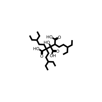 CCC(CC)CCC(C(=O)O)C(O)(C(=O)O)C(CCC(CC)CC)(CCC(CC)CC)C(=O)O